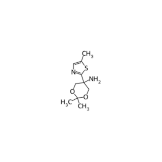 Cc1cnc(C2(N)COC(C)(C)OC2)s1